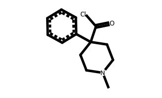 CN1CCC(C(=O)Cl)(c2ccccc2)CC1